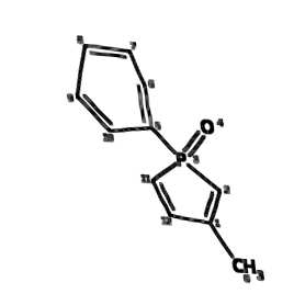 CC1=CP(=O)(c2ccccc2)C=C1